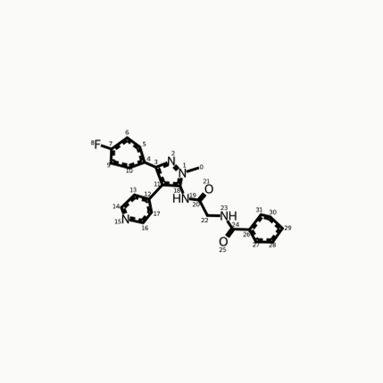 Cn1nc(-c2ccc(F)cc2)c(-c2ccncc2)c1NC(=O)CNC(=O)c1ccccc1